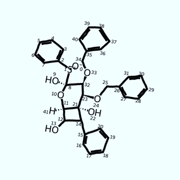 [O-][S+](c1ccccc1)[C@]1(O)O[C@@H]2C(O)C(c3ccccc3)[C@]2(O)[C@H](OCc2ccccc2)[C@@H]1OCc1ccccc1